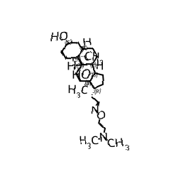 CN(C)CCON=CC[C@H]1CC[C@]2(O)[C@@H]3CC[C@@H]4C[C@@H](O)CC[C@]4(C)[C@H]3CC[C@]12C